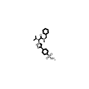 CC(C)[C@@H](C(=O)N(C)Cc1ccccc1)n1cc(-c2ccc(S(N)(=O)=O)cc2)nn1